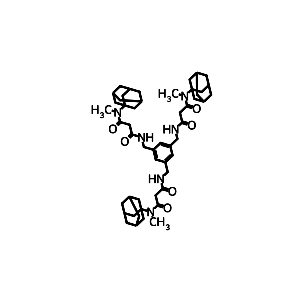 CN(C(=O)CC(=O)NCc1cc(CNC(=O)CC(=O)N(C)C23CC4CC(CC(C4)C2)C3)cc(CNC(=O)CC(=O)N(C)C23CC4CC(CC(C4)C2)C3)c1)C12CC3CC(CC(C3)C1)C2